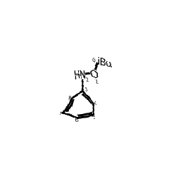 CCC(C)ONc1ccccc1